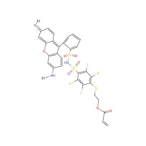 C=CC(=O)OCCSc1c(F)c(F)c(S(=O)(=O)NS(=O)(=O)c2ccccc2-c2c3cc/c(=N\CC)cc-3oc3cc(NCC)ccc23)c(F)c1F